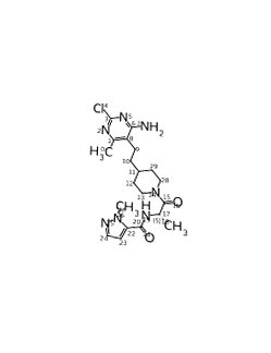 Cc1nc(Cl)nc(N)c1CCC1CCN(C(=O)[C@H](C)NC(=O)c2ccnn2C)CC1